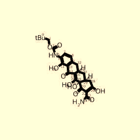 CC(C)(C)COC(=O)Nc1ccc2c(c1O)C(=O)C1=C(O)[C@]3(O)C(=O)C(C(N)=O)=C(O)C[C@@H]3C[C@@H]1C2